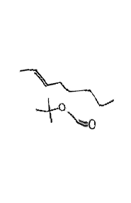 CC(C)(C)OC=O.CC=CCCCCC